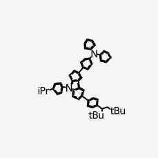 CC(C)c1ccc(-n2c3ccc(-c4ccc(C(CC(C)(C)C)C(C)(C)C)cc4)cc3c3cc(-c4ccc(N(c5ccccc5)c5ccccc5)cc4)ccc32)cc1